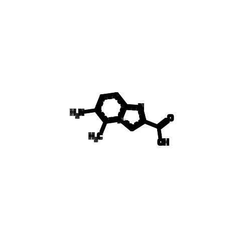 Cc1c(N)ccc2nc(C(=O)O)cn12